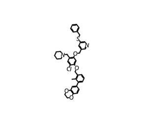 Cc1c(COc2cc(OCc3cncc(SCc4ccccc4)c3)c(CN3CCCCC3)cc2Cl)cccc1-c1ccc2c(c1)OCCO2